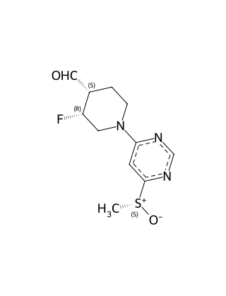 C[S@@+]([O-])c1cc(N2CC[C@@H](C=O)[C@@H](F)C2)ncn1